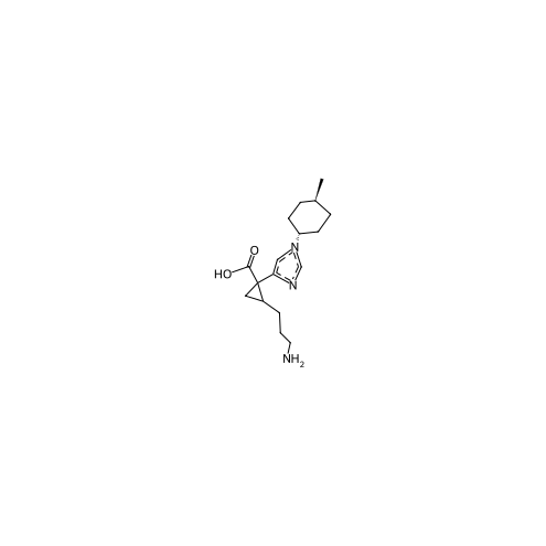 C[C@H]1CC[C@H](n2cnc(C3(C(=O)O)CC3CCCN)c2)CC1